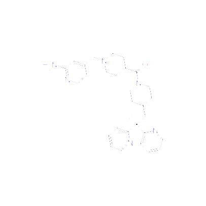 Nc1cc(CN2CCC(C(=O)N3CCC(CC(O)(c4ccccn4)c4ccccn4)CC3)CC2)ccn1